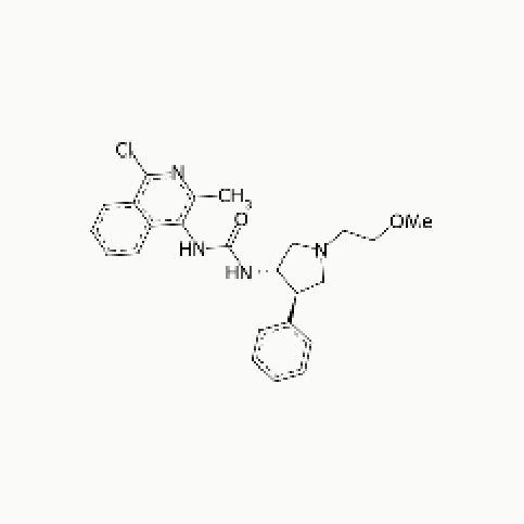 COCCN1C[C@@H](NC(=O)Nc2c(C)nc(Cl)c3ccccc23)[C@H](c2ccccc2)C1